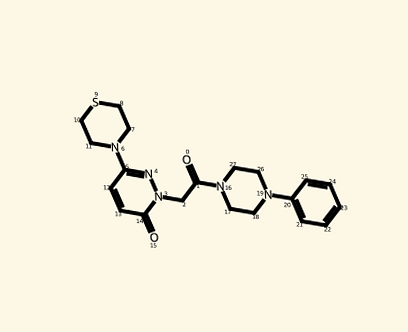 O=C(Cn1nc(N2CCSCC2)ccc1=O)N1CCN(c2ccccc2)CC1